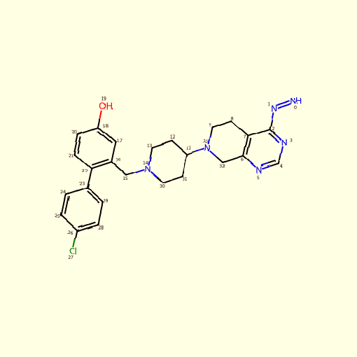 N=Nc1ncnc2c1CCN(C1CCN(Cc3cc(O)ccc3-c3ccc(Cl)cc3)CC1)C2